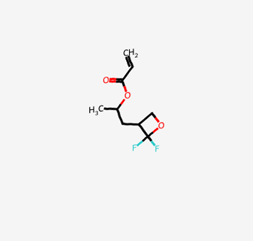 C=CC(=O)OC(C)CC1COC1(F)F